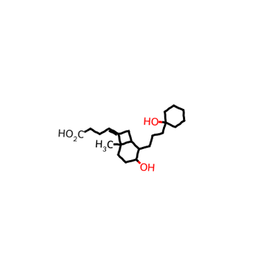 CC12CCC(O)C(CCCC3(O)CCCCC3)C1C/C2=C/CCC(=O)O